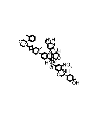 Cc1ccccc1[C@@H]1COCCN1C1CC2(CCN(c3ccc(C(=O)NS(=O)(=O)c4cc5c(c([N+](=O)[O-])c4)N[C@@H](C4CCC(C)(O)CC4)CO5)c(N4c5cc6cc[nH]c6nc5O[C@H]5COCC[C@@H]54)c3)[C@H](C)C2)C1